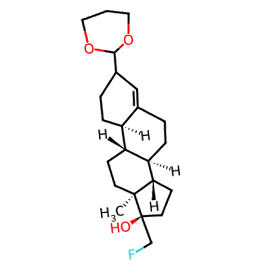 C[C@]12CC[C@H]3[C@@H](CCC4=CC(C5OCCCO5)CC[C@@H]43)[C@@H]1CC[C@]2(O)CF